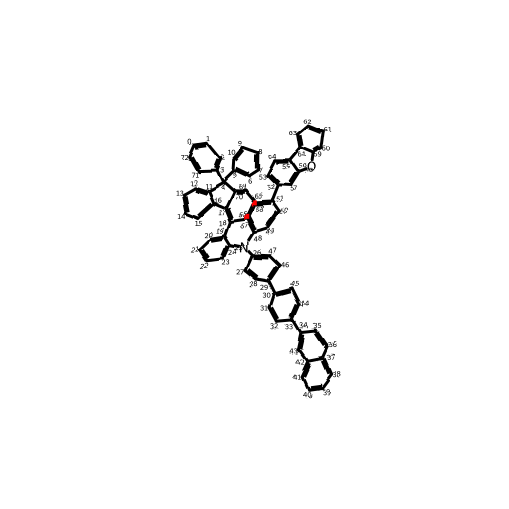 c1ccc(C2(c3ccccc3)c3ccccc3-c3c(-c4ccccc4N(c4ccc(-c5ccc(-c6ccc7ccccc7c6)cc5)cc4)c4ccc(-c5ccc6c(c5)oc5ccccc56)cc4)cccc32)cc1